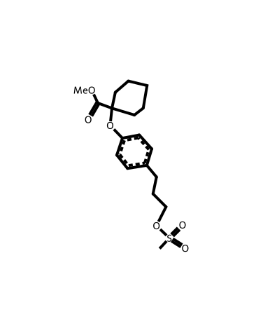 COC(=O)C1(Oc2ccc(CCCOS(C)(=O)=O)cc2)CCCCC1